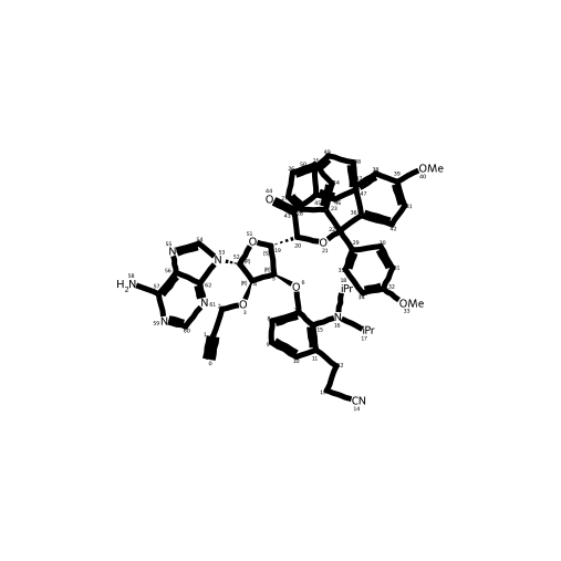 C#CCO[C@@H]1[C@H](Oc2cccc(CCC#N)c2N(C(C)C)C(C)C)[C@@H](C(OC(c2ccccc2)(c2ccc(OC)cc2)c2ccc(OC)cc2)C(=O)c2ccccc2)O[C@H]1n1cnc2c(N)ncnc21